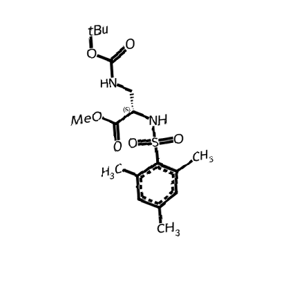 COC(=O)[C@H](CNC(=O)OC(C)(C)C)NS(=O)(=O)c1c(C)cc(C)cc1C